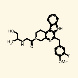 COc1ccc(Cc2nc3c(c4c2[nH]c2ccccc24)CCN(C(=O)CNC(C)CO)C3)cc1F